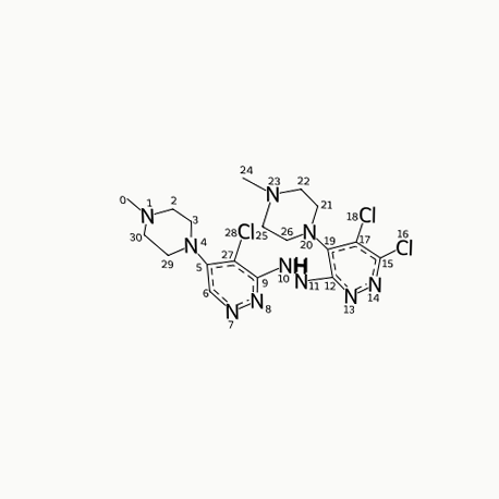 CN1CCN(c2cnnc(NNc3nnc(Cl)c(Cl)c3N3CCN(C)CC3)c2Cl)CC1